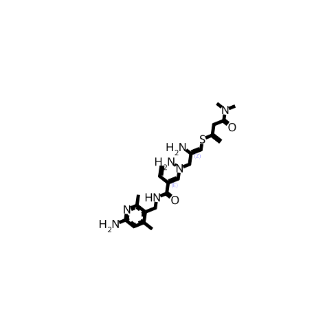 C=C/C(=C\N(N)C/C(N)=C/SC(=C)CC(=O)N(C)C)C(=O)NCc1c(C)cc(N)nc1C